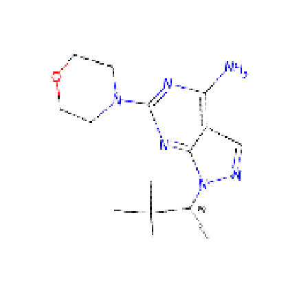 C[C@@H](n1ncc2c(N)nc(N3CCOCC3)nc21)C(C)(C)C